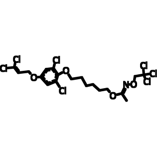 CC(=NOCC(Cl)(Cl)Cl)OCCCCCCOc1c(Cl)cc(OCC=C(Cl)Cl)cc1Cl